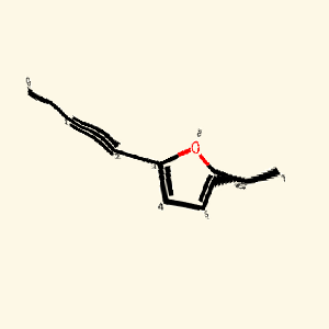 CC#Cc1ccc(C)o1